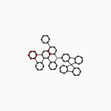 c1ccc(-c2ccc(N(c3ccc4c(c3)C3(c5ccccc5-c5ccccc53)c3ccccc3-4)c3ccccc3-c3cccc(-c4ccccc4)c3-c3ccccc3-c3ccccc3)cc2)cc1